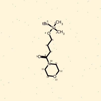 CC(C)(C)[Si](C)(C)OCCCC(=O)N1CCOCC1